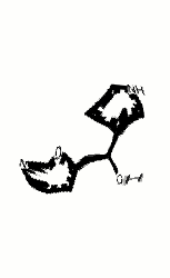 OC(c1cc[nH]c1)c1ccno1